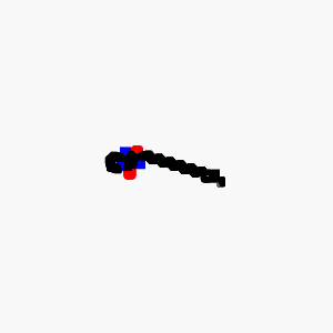 CCCCCCCCCCCCc1nc2c(=O)n3c(nc2o1)CCCC3